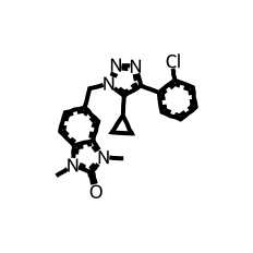 Cn1c(=O)n(C)c2cc(Cn3nnc(-c4ccccc4Cl)c3C3CC3)ccc21